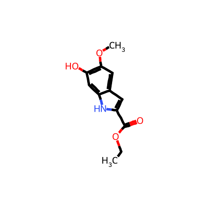 CCOC(=O)c1cc2cc(OC)c(O)cc2[nH]1